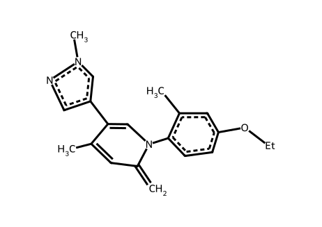 C=C1C=C(C)C(c2cnn(C)c2)=CN1c1ccc(OCC)cc1C